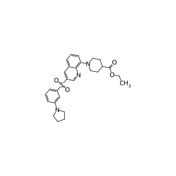 CCOC(=O)C1CCN(c2cccc3cc(S(=O)(=O)c4cccc(N5CCCC5)c4)cnc23)CC1